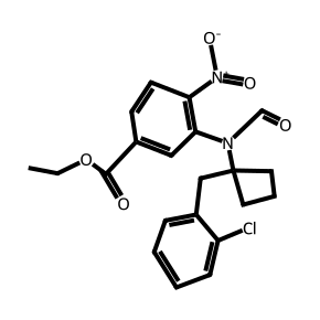 CCOC(=O)c1ccc([N+](=O)[O-])c(N(C=O)C2(Cc3ccccc3Cl)CCC2)c1